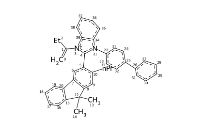 C=C(CC)[n+]1c(-c2cc3c(cc2CCC)C(C)(C)c2ccccc2-3)n(-c2ccc(-c3ccccc3)cc2)c2ccccc21